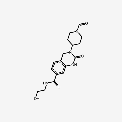 O=CN1CCC(N2Cc3ccc(C(=O)NCCO)cc3NC2=O)CC1